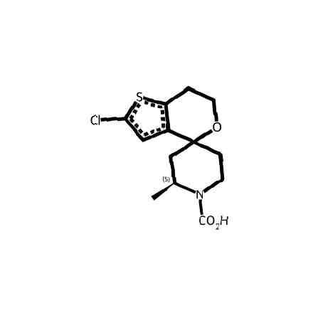 C[C@H]1CC2(CCN1C(=O)O)OCCc1sc(Cl)cc12